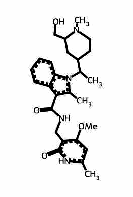 COc1cc(C)[nH]c(=O)c1CNC(=O)c1c(C)n(C(C)C2CCN(C)C(CO)C2)c2ccccc12